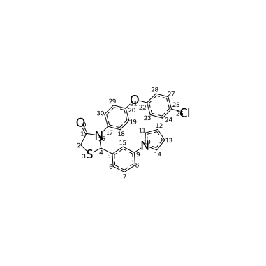 O=C1CSC(c2cccc(-n3cccc3)c2)N1c1ccc(Oc2ccc(Cl)cc2)cc1